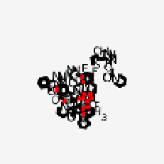 Cc1ccccc1-c1nnnn1OCC(=O)C(=O)N1CCCCC1C(ON1N=NN(C(On2nnnc2-c2cccc(F)c2F)C(=O)N2CCCCC2)C1c1ccccc1C)(C(=O)C(=O)N1CCCCC1)C(On1nnnc1-c1c(F)cccc1F)C(=O)N(C)c1ccccc1.Cc1ccsc1-c1nnnn1OCC(=O)N1CCCCC1